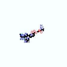 C=C(F)/C=C(/NC)c1[nH]c2ncc(-c3ccc4ccc(C(=O)OCCOC(=O)C(N)C(C)C)c(=O)n4c3)c(N3CC[C@H]4CN(C)C[C@H]43)c2c1F